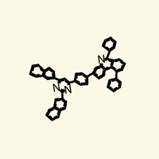 c1ccc(-c2nc3cc(-c4ccc(-c5cc(-c6ccc7ccccc7c6)nc(-c6ccc7ccccc7c6)n5)cc4)ccc3c3c(-c4ccccc4)cccc23)cc1